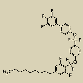 CCCCCCCCCc1cc(F)c(C(F)(F)Oc2ccc(C(F)(F)Oc3ccc(-c4cc(F)c(F)c(F)c4)cc3)cc2)c(F)c1